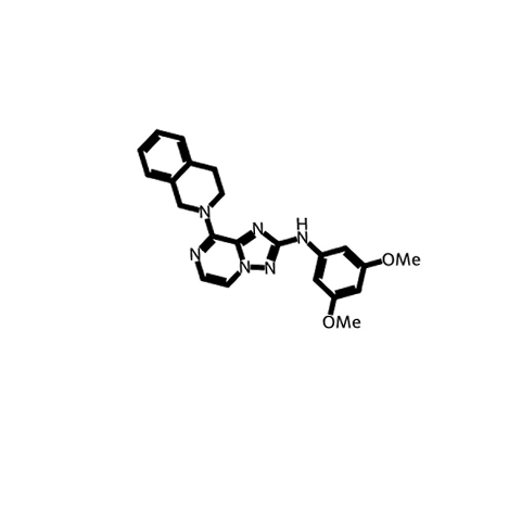 COc1cc(Nc2nc3c(N4CCc5ccccc5C4)nccn3n2)cc(OC)c1